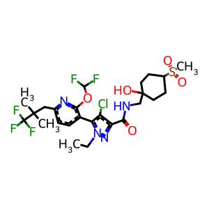 CCn1nc(C(=O)NCC2(O)CCC(S(C)(=O)=O)CC2)c(Cl)c1-c1ccc(CC(C)(C)C(F)(F)F)nc1OC(F)F